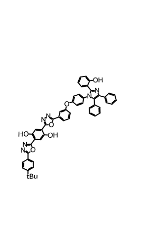 CC(C)(C)c1ccc(-c2nnc(-c3cc(O)c(-c4nnc(-c5cccc(Oc6ccc(-n7c(-c8ccccc8O)nc(-c8ccccc8)c7-c7ccccc7)cc6)c5)o4)cc3O)o2)cc1